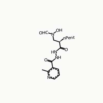 CCCCC[C@H](CN(O)C=O)C(=O)NNC(=O)c1cccnc1C